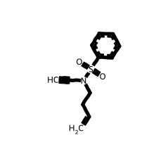 C#CN(CCC=C)S(=O)(=O)c1ccccc1